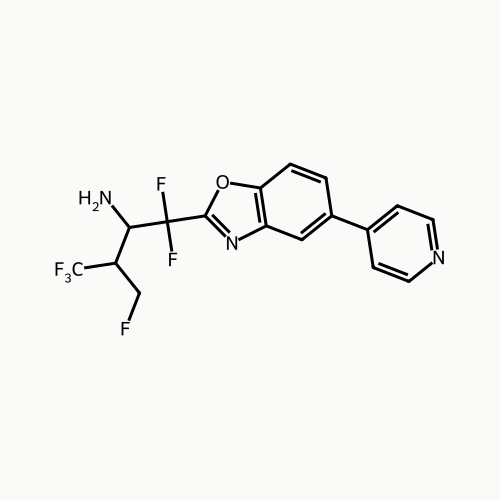 NC(C(CF)C(F)(F)F)C(F)(F)c1nc2cc(-c3ccncc3)ccc2o1